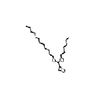 CCCCCCCCCCCCOC(OCCCCCC)C1CO1